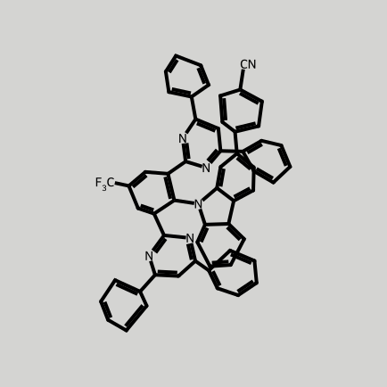 N#Cc1ccc(-c2ccc3c4ccccc4n(-c4c(-c5nc(-c6ccccc6)cc(-c6ccccc6)n5)cc(C(F)(F)F)cc4-c4nc(-c5ccccc5)cc(-c5ccccc5)n4)c3c2)cc1